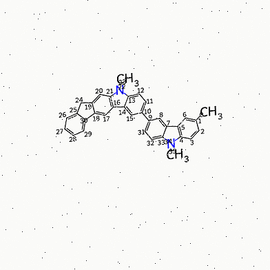 Cc1ccc2c(c1)c1cc(-c3ccc4c(c3)c3cc5c(cc3n4C)Cc3ccccc3-5)ccc1n2C